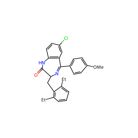 CCc1cccc(CC)c1CC1N=C(c2ccc(OC)cc2)c2cc(Cl)ccc2NC1=O